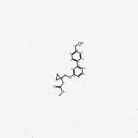 COC(=O)CC1(CSc2ccnc(-c3ccc(CO)cc3)c2)CC1